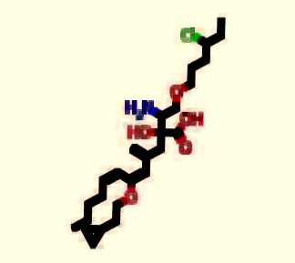 C=C(/C=C(\C=C/CCCC)OCCC1CC1)CC(O)(C(=O)O)C(N)COCCCC(Cl)CC